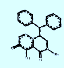 CCCCN1C[C@H](C(c2ccccc2)c2ccccc2)n2ncc(=O)c(O)c2C1=O